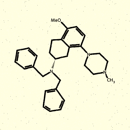 COc1ccc(N2CCN(C)CC2)c2c1CC[C@@H](N(Cc1ccccc1)Cc1ccccc1)C2